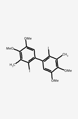 COc1cc(-c2cc(OC)c(OC)c(C)c2I)c(I)c(C)c1OC